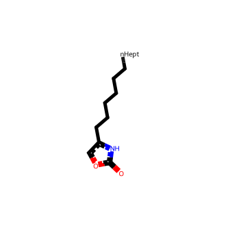 CCCCCCCCCCCCCc1coc(=O)[nH]1